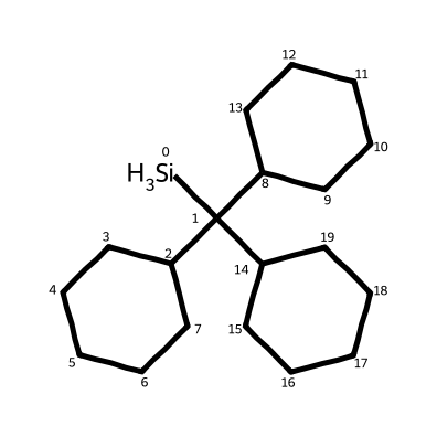 [SiH3]C(C1CCCCC1)(C1CCCCC1)C1CCCCC1